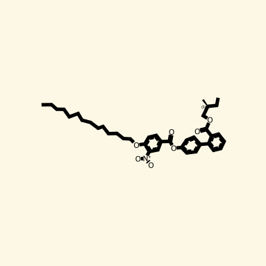 CCCCCCCCCCCCCCOc1ccc(C(=O)Oc2ccc(-c3ccccc3C(=O)OC[C@@H](C)CC)cc2)cc1[N+](=O)[O-]